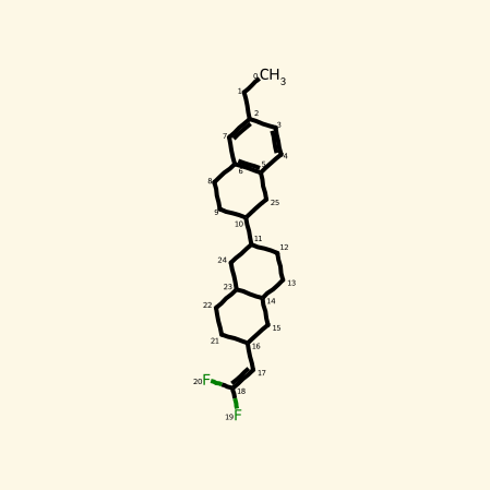 CCc1ccc2c(c1)CCC(C1CCC3CC(C=C(F)F)CCC3C1)C2